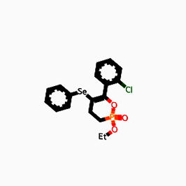 CCOP1(=O)CCC([Se]c2ccccc2)=C(c2ccccc2Cl)O1